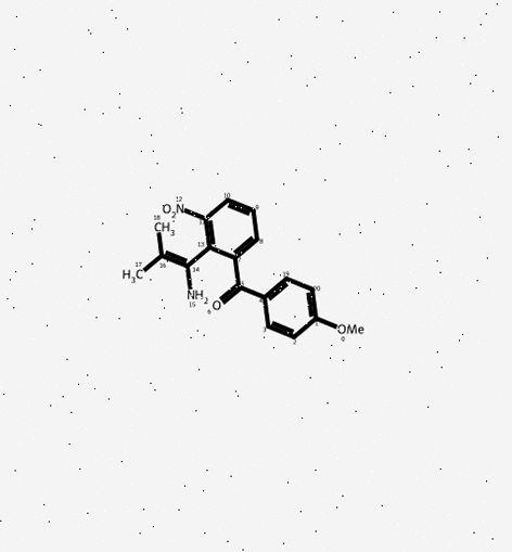 COc1ccc(C(=O)c2cccc([N+](=O)[O-])c2C(N)=C(C)C)cc1